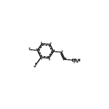 Cc1ccc(C=CC(=O)O)cc1F